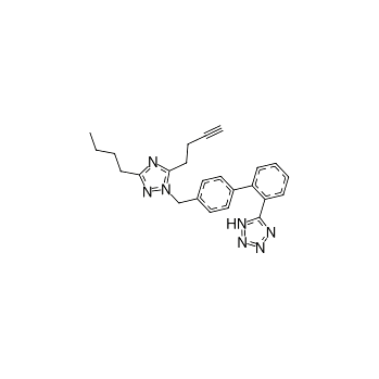 C#CCCc1nc(CCCC)nn1Cc1ccc(-c2ccccc2-c2nnn[nH]2)cc1